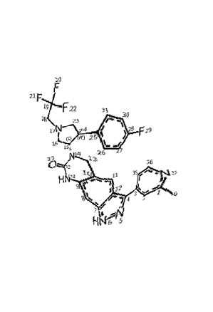 Cc1cc(-c2n[nH]c3cc4c(cc23)CN([C@@H]2CN(CC(F)(F)F)C[C@H]2c2ccc(F)cc2)C(=O)N4)ccn1